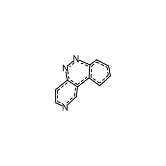 c1ccc2c(c1)nnc1ccncc12